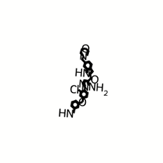 N=Cc1cccc(Oc2ccc(-n3ncc(C(=O)c4cc5ccc(CN6CCOCC6)cc5[nH]4)c3N)c(Cl)c2)c1